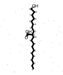 CCCCCCCCCCCC(CCCCCCCCO)C(=O)O